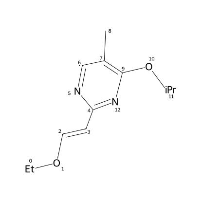 CCOC=Cc1n[c]c(C)c(OC(C)C)n1